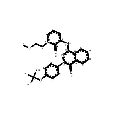 COCCn1cccc(Nc2nn(-c3ccc(OC(F)(F)F)cc3)c(=O)c3ccccc23)c1=O